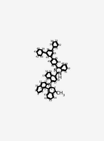 CC1Cc2c(c3c4ccccc4ccc3n2-c2ccc(C3N=C(c4ccc(-c5cc(-c6ccccc6)cc(-c6ccccc6)c5)cc4)c4ccccc4N3)c3ccccc23)-c2ccccc21